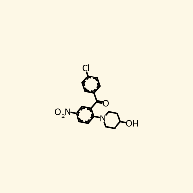 O=C(c1ccc(Cl)cc1)c1cc([N+](=O)[O-])ccc1N1CCC(O)CC1